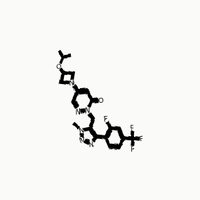 CC(C)OC1CN(c2cnn(Cc3c(-c4ccc(C(F)(F)F)cc4F)nnn3C)c(=O)c2)C1